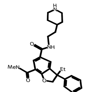 CCC1(c2ccccc2)COc2c(C(=O)NC)cc(C(=O)NCCC3CCNCC3)cc21